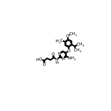 COc1cc(C(C)C)c(Oc2cnc(NC(=O)CCC(=O)O)nc2N)cc1C